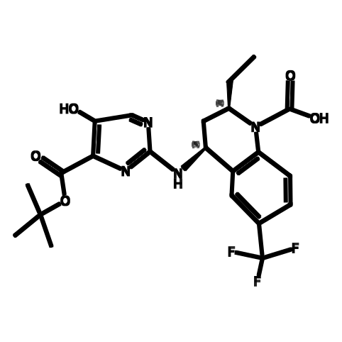 CC[C@@H]1C[C@H](Nc2ncc(O)c(C(=O)OC(C)(C)C)n2)c2cc(C(F)(F)F)ccc2N1C(=O)O